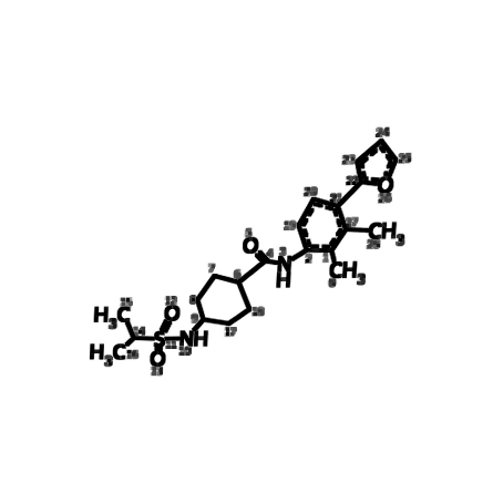 Cc1c(NC(=O)C2CCC(NS(=O)(=O)C(C)C)CC2)ccc(-c2ccco2)c1C